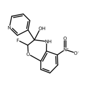 O=[N+]([O-])c1cccc2c1NC(O)(c1cccnc1)C(F)O2